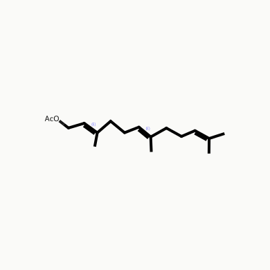 CC(=O)OC/C=C(\C)CC/C=C(\C)CCC=C(C)C